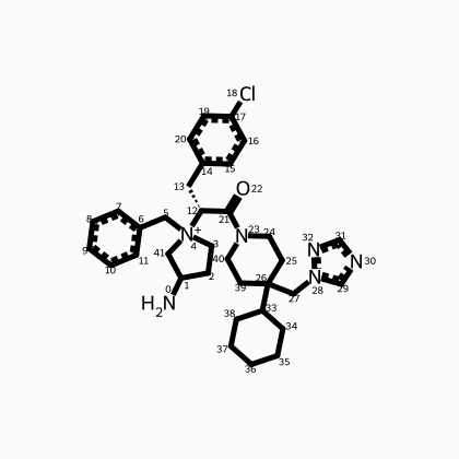 NC1CC[N+](Cc2ccccc2)([C@H](Cc2ccc(Cl)cc2)C(=O)N2CCC(Cn3cncn3)(C3CCCCC3)CC2)C1